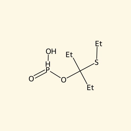 CCSC(CC)(CC)O[PH](=O)O